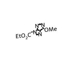 CCOC(=O)Cn1cnc2c(OC)ncnc21